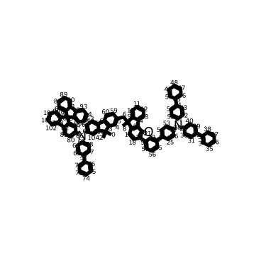 CC1(C)c2cc(CC3(C)c4ccccc4-c4c3ccc3c4oc4c(-c5ccc(N(c6ccc(-c7ccccc7)cc6)c6ccc(-c7ccccc7)cc6)cc5)cccc43)ccc2-c2ccc(N(c3ccc(-c4ccccc4)cc3)c3ccc4c(c3)C3(c5ccccc5-c5ccccc53)c3ccccc3-4)cc21